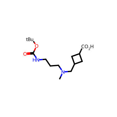 CN(CCCNC(=O)OC(C)(C)C)CC1CC(C(=O)O)C1